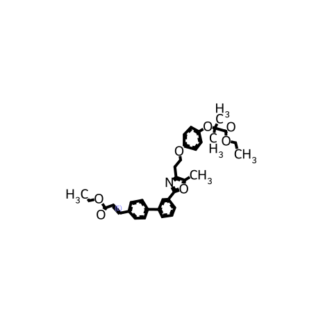 CCOC(=O)/C=C/c1ccc(-c2cccc(-c3nc(CCOc4ccc(OC(C)(C)C(=O)OCC)cc4)c(C)o3)c2)cc1